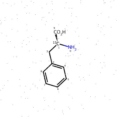 N[13C@@H](Cc1ccccc1)C(=O)O